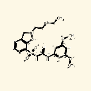 CCOCCN1Cc2cccc(S(=O)(=O)NC(=O)Nc3nc(OC)cc(OC)n3)c2S1